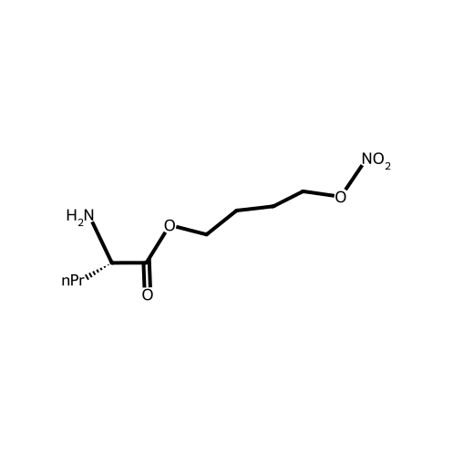 CCC[C@H](N)C(=O)OCCCCO[N+](=O)[O-]